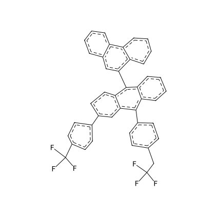 FC(F)(F)Cc1ccc(-c2c3ccccc3c(-c3cc4ccccc4c4ccccc34)c3ccc(-c4ccc(C(F)(F)F)cc4)cc23)cc1